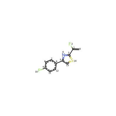 C=C(F)c1nc(-c2ccc(F)cc2)cs1